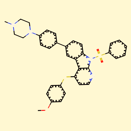 COc1ccc(Sc2ccnc3c2c2cc(-c4ccc(N5CCN(C)CC5)cc4)ccc2n3S(=O)(=O)c2ccccc2)cc1